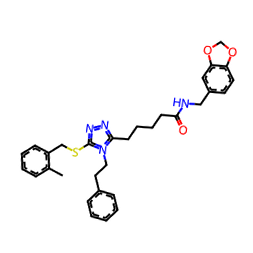 Cc1ccccc1CSc1nnc(CCCCC(=O)NCc2ccc3c(c2)OCO3)n1CCc1ccccc1